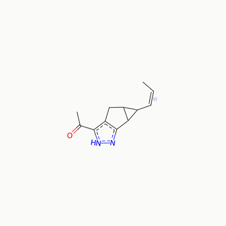 C/C=C\C1C2Cc3c(n[nH]c3C(C)=O)C12